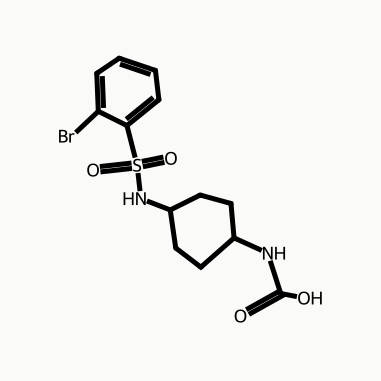 O=C(O)NC1CCC(NS(=O)(=O)c2ccccc2Br)CC1